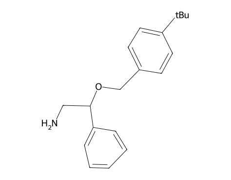 CC(C)(C)c1ccc(COC(CN)c2ccccc2)cc1